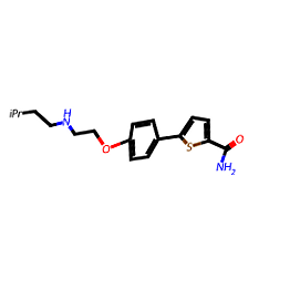 CC(C)CCNCCOc1ccc(-c2ccc(C(N)=O)s2)cc1